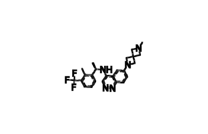 Cc1c([C@@H](C)Nc2cnnc3ccc(N4CC5(CN(C)C5)C4)cc23)cccc1C(F)(F)F